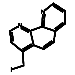 ICc1ccnc2c1ccc1cccnc12